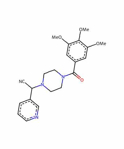 COc1cc(C(=O)N2CCN(C(C#N)c3cccnc3)CC2)cc(OC)c1OC